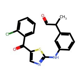 CC(C=O)c1cccc(Nc2ncc(C(=O)c3ccccc3Cl)s2)c1